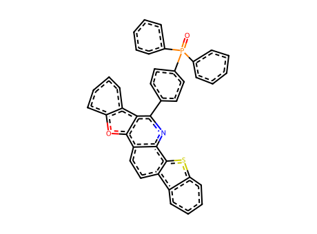 O=P(c1ccccc1)(c1ccccc1)c1ccc(-c2nc3c(ccc4c5ccccc5sc43)c3oc4ccccc4c23)cc1